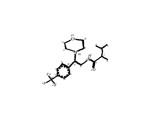 CC(C)C(C)C(=O)NCC(c1ccc(C(F)(F)F)cc1)N1CCOCC1